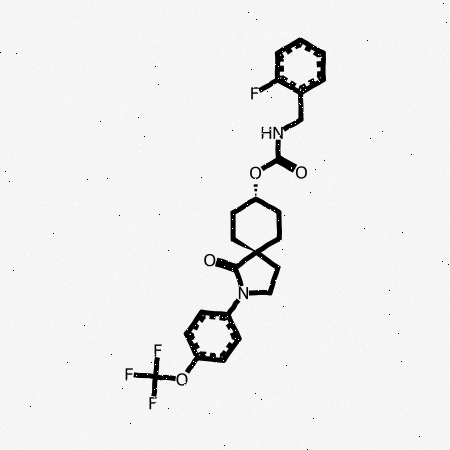 O=C(NCc1ccccc1F)O[C@H]1CC[C@]2(CCN(c3ccc(OC(F)(F)F)cc3)C2=O)CC1